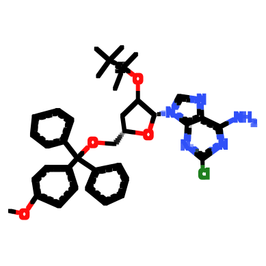 COc1ccc(C(OC[C@@H]2CC(O[Si](C)(C)C(C)(C)C)[C@H](n3cnc4c(N)nc(Cl)nc43)O2)(c2ccccc2)c2ccccc2)cc1